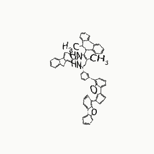 CC1=C(C2c3ccccc3-c3ccccc3C2C)NC(c2ccc3c(c2)Cc2ccccc2-3)NC(c2cccc(-c3cccc4c3oc3c(-c5cccc6c5oc5ccccc56)cccc34)c2)C1